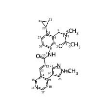 CC(=O)N(C)Cc1cc(NC(=O)C=Cc2cnccc2-c2cnn(C)c2)ccc1C1CC1